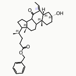 C/C=C1\C(=O)C2C3CCC([C@H](C)CCC(=O)OCc4ccccc4)[C@@]3(C)CCC2[C@@]2(C)CC[C@@H](O)C[C@@H]12